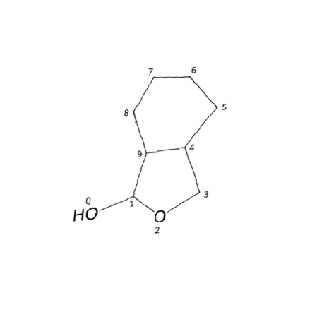 OC1OCC2CCCCC21